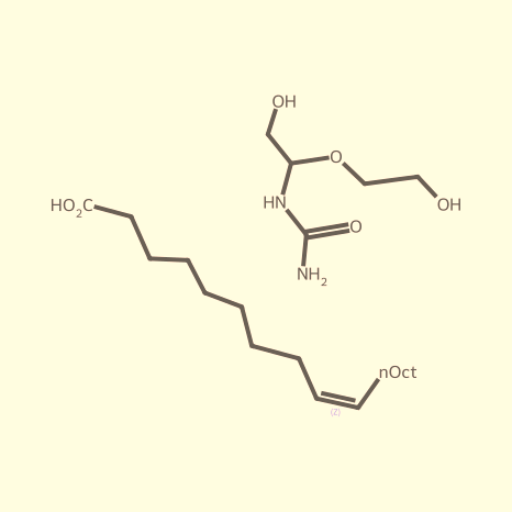 CCCCCCCC/C=C\CCCCCCCC(=O)O.NC(=O)NC(CO)OCCO